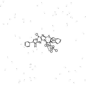 O=c1c2nc(Sc3ccc4ccccc4c3)n([C@@H]3OC4CO[PH](=O)O[C@H]4[C@@H]3O)c2nc2[nH]c(-c3ccccc3)cn12